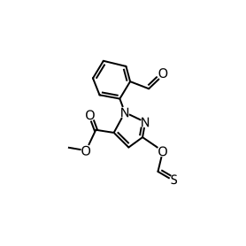 COC(=O)c1cc(OC=S)nn1-c1ccccc1C=O